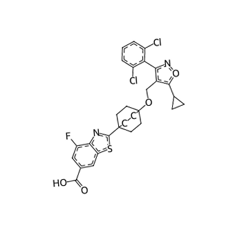 O=C(O)c1cc(F)c2nc(C34CCC(OCc5c(-c6c(Cl)cccc6Cl)noc5C5CC5)(CC3)CC4)sc2c1